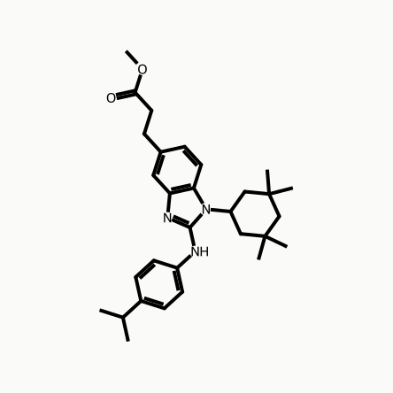 COC(=O)CCc1ccc2c(c1)nc(Nc1ccc(C(C)C)cc1)n2C1CC(C)(C)CC(C)(C)C1